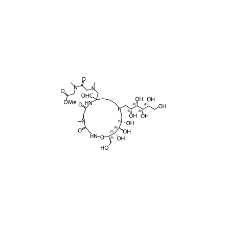 COC(=O)CN(C)C(=O)CN(C)CC1(C=O)CCCN(C[C@H](O)[C@@H](O)[C@H](O)[C@H](O)CO)C[C@H](O)[C@@H](O)[C@H](O)[C@@H](CO)ONCC(=O)N(C)CC(=O)N1